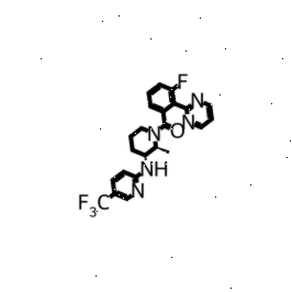 C[C@H]1[C@H](Nc2ccc(C(F)(F)F)cn2)CCCN1C(=O)c1cccc(F)c1-c1ncccn1